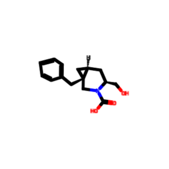 O=C(O)N1C[C@]2(Cc3ccccc3)C[C@H]2C[C@H]1CO